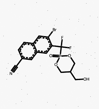 N#Cc1ccc2cc(Br)c(C(F)(F)P3(=O)OCC(CO)CO3)cc2c1